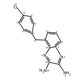 Nc1nc2cccc(Cc3ccc(Cl)cc3)c2nc1N